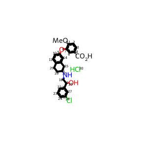 COc1ccc(C(=O)O)cc1Oc1ccc2c(c1)C[C@@H](NC[C@@H](O)c1cccc(Cl)c1)CC2.Cl